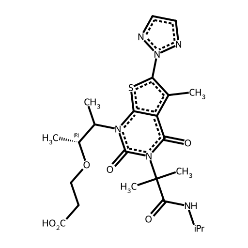 Cc1c(-n2nccn2)sc2c1c(=O)n(C(C)(C)C(=O)NC(C)C)c(=O)n2C(C)[C@@H](C)OCCC(=O)O